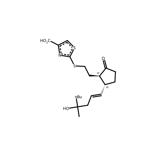 CCCCC(C)(O)CC=C[C@H]1CCC(=O)[C@@H]1CCSc1nc(C(=O)O)cs1